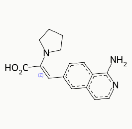 Nc1nccc2cc(/C=C(/C(=O)O)N3CCCC3)ccc12